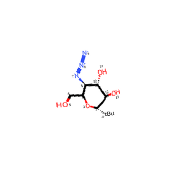 CC(C)(C)[C@@H]1OC(CO)[C@@H](N=[N+]=[N-])[C@H](O)C1O